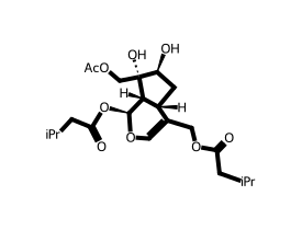 CC(=O)OC[C@]1(O)[C@H]2[C@H](OC(=O)CC(C)C)OC=C(COC(=O)CC(C)C)[C@H]2C[C@@H]1O